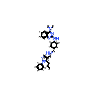 CCCc1c(CNC[C@H]2CC[C@@H](Nc3nc(N(C)C)c4ccccc4n3)CC2)cnn1-c1ccccc1